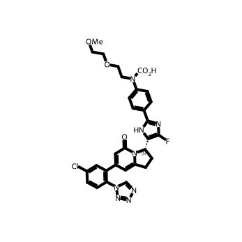 COCCOCCN(C(=O)O)c1ccc(-c2nc(F)c([C@@H]3CCc4cc(-c5cc(Cl)ccc5-n5cnnn5)cc(=O)n43)[nH]2)cc1